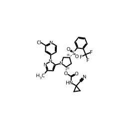 Cc1cc(N2C[C@H](S(=O)(=O)c3ccccc3C(F)(F)F)C[C@@H]2OC(=O)NC2(C#N)CC2)n(-c2ccnc(Cl)c2)n1